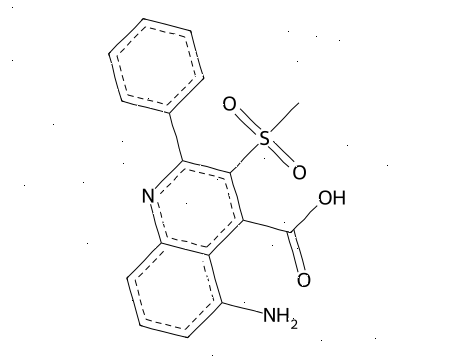 CS(=O)(=O)c1c(-c2ccccc2)nc2cccc(N)c2c1C(=O)O